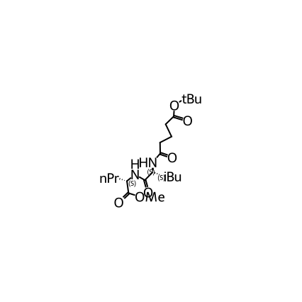 CCC[C@H](NC(=O)[C@@H](NC(=O)CCCC(=O)OC(C)(C)C)[C@@H](C)CC)C(=O)OC